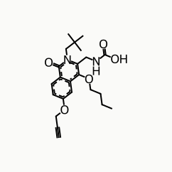 C#CCOc1ccc2c(=O)n(CC(C)(C)C)c(CNC(=O)O)c(OCCCC)c2c1